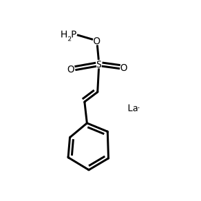 O=S(=O)(C=Cc1ccccc1)OP.[La]